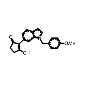 COc1ccc(Cn2ccc3ccc(C4=C(O)CCC4=O)cc32)cc1